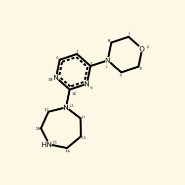 c1cc(N2CCOCC2)nc(N2CCCNCC2)n1